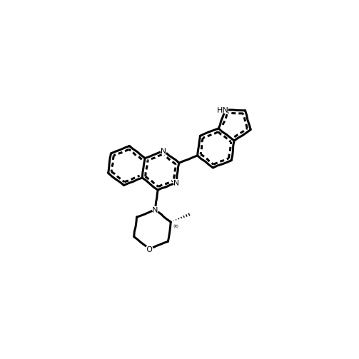 C[C@@H]1COCCN1c1nc(-c2ccc3cc[nH]c3c2)nc2ccccc12